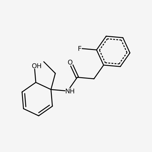 CCC1(NC(=O)Cc2ccccc2F)C=CC=CC1O